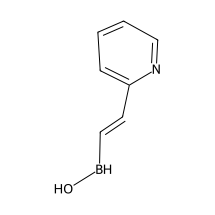 OBC=Cc1ccccn1